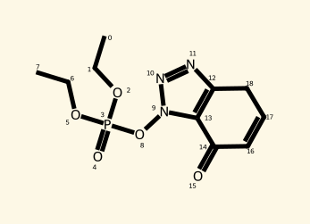 CCOP(=O)(OCC)On1nnc2c1C(=O)C=CC2